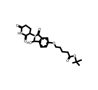 CC(C)(C)OC(=O)CCCCOc1ccc2c(c1)C(=O)N(C1CCC(=O)NC1=O)C2O